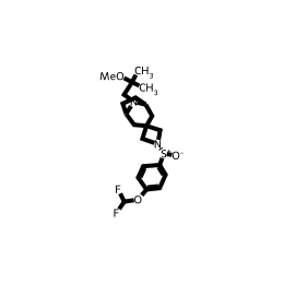 COC(C)(C)CN1C2CCC1CC1(C2)CN([S+]([O-])c2ccc(OC(F)F)cc2)C1